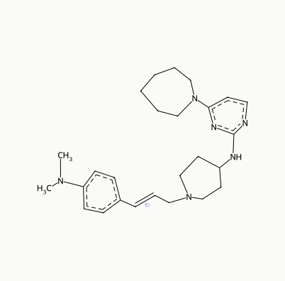 CN(C)c1ccc(/C=C/CN2CCC(Nc3nccc(N4CCCCCC4)n3)CC2)cc1